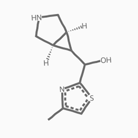 Cc1csc(C(O)C2[C@H]3CNC[C@@H]23)n1